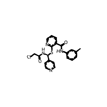 Cc1cccc(NC(=O)c2cccnc2SC(NC(=O)CCl)c2ccncc2)c1